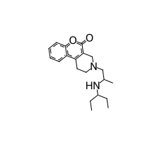 CCC(CC)NC(C)CN1CCc2c(c(=O)oc3ccccc23)C1